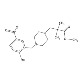 COC(=O)C(C)(C)CN1CCN(Cc2cc([N+](=O)[O-])ccc2O)CC1